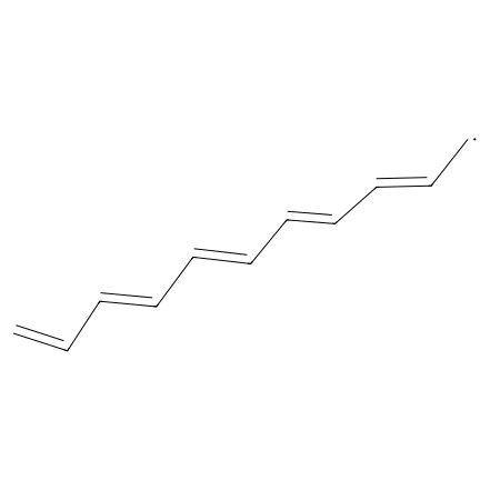 [CH2]C=CC=CC=CC=CC=C